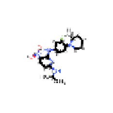 CC(C)Nc1ccc([N+](=O)[O-])c(Nc2ccc(N3CCCCC3C)c(F)c2)n1